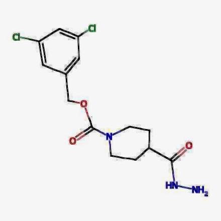 NNC(=O)C1CCN(C(=O)OCc2cc(Cl)cc(Cl)c2)CC1